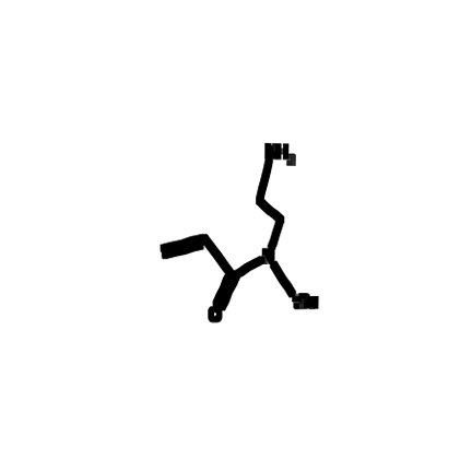 C=CC(=O)N(CCN)C(C)(C)C